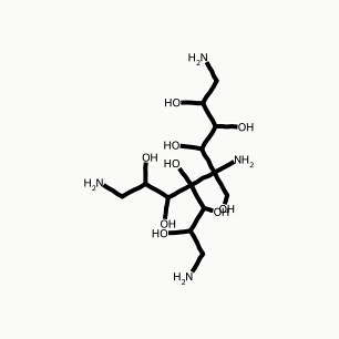 NCC(O)C(O)C(O)C(N)(CO)C(O)(C(O)C(O)CN)C(O)C(O)CN